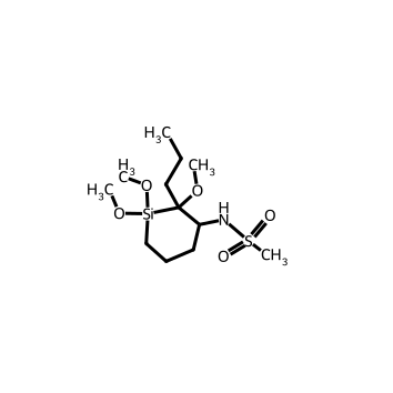 CCCC1(OC)C(NS(C)(=O)=O)CCC[Si]1(OC)OC